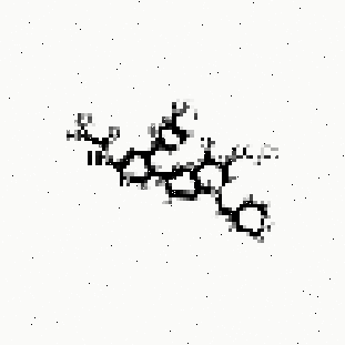 CCNC(=O)Nc1cc(-c2nc(C(F)(F)F)cs2)c(-c2ccc3c(c2)c(=O)c(C(=O)OCC)cn3CC2CCOCC2)cn1